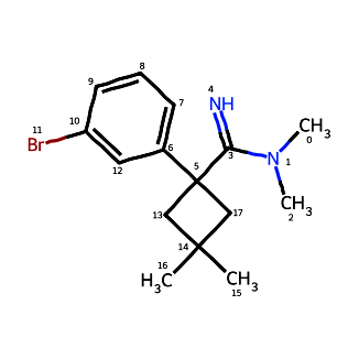 CN(C)C(=N)C1(c2cccc(Br)c2)CC(C)(C)C1